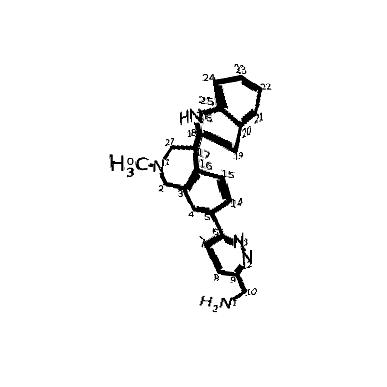 CN1Cc2cc(-c3ccc(CN)nn3)ccc2C(c2cc3ccccc3[nH]2)C1